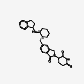 O=C1CCC(N2Cc3cc(C[C@H]4CCCC[C@@H]4NC4CCc5ccccc54)ccc3C2=O)C(=O)N1